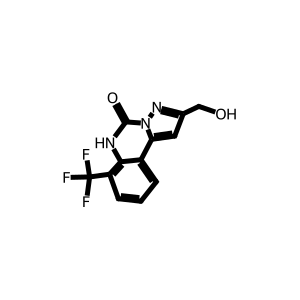 O=c1[nH]c2c(C(F)(F)F)cccc2c2cc(CO)nn12